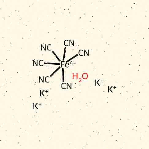 N#[C][Fe-4]([C]#N)([C]#N)([C]#N)([C]#N)[C]#N.O.[K+].[K+].[K+].[K+]